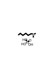 CCCCCCN(C)C.O=P(O)(O)O